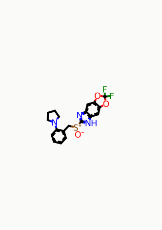 [O-][S+](Cc1ccccc1N1CCCC1)c1nc2cc3c(cc2[nH]1)OC(F)(F)O3